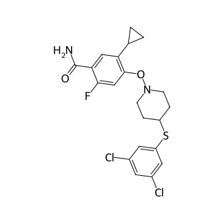 NC(=O)c1cc(C2CC2)c(ON2CCC(Sc3cc(Cl)cc(Cl)c3)CC2)cc1F